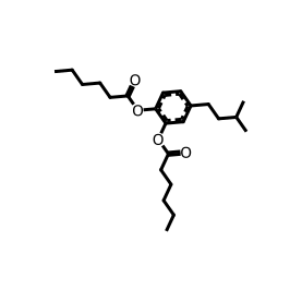 CCCCCC(=O)Oc1ccc(CCC(C)C)cc1OC(=O)CCCCC